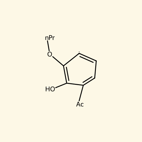 CCCOc1[c]ccc(C(C)=O)c1O